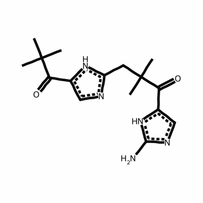 CC(C)(C)C(=O)c1cnc(CC(C)(C)C(=O)c2cnc(N)[nH]2)[nH]1